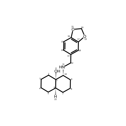 O[C@@]12CCCC[C@@H]1CCC[C@H]2NCc1ccc2c(c1)OCO2